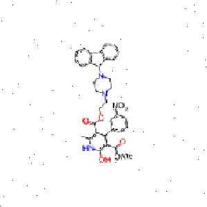 COC(=O)C1=C(O)NC(C)=C(C(=O)OCCN2CCN(C3c4ccccc4-c4ccccc43)CC2)C1c1cccc([N+](=O)[O-])c1